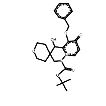 CC(C)(C)OC(=O)N1CC2(CCOCC2)C(O)c2c(OCc3ccccc3)c(=O)ccn21